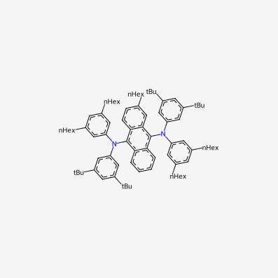 CCCCCCc1cc(CCCCCC)cc(N(c2cc(C(C)(C)C)cc(C(C)(C)C)c2)c2c3ccccc3c(N(c3cc(CCCCCC)cc(CCCCCC)c3)c3cc(C(C)(C)C)cc(C(C)(C)C)c3)c3cc(CCCCCC)ccc23)c1